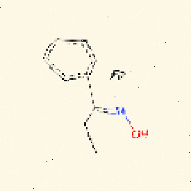 CCC(=NO)c1ccccc1.[Fe]